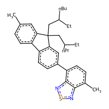 CCCCC(CC)CC1(CC(CC)CCC)c2cc(C)ccc2-c2ccc(-c3ccc(C)c4nsnc34)cc21